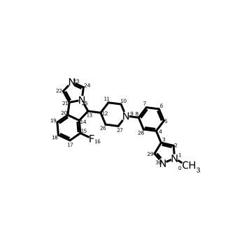 Cn1cc(-c2cccc(N3CCC(C4c5c(F)cccc5-c5cncn54)CC3)c2)cn1